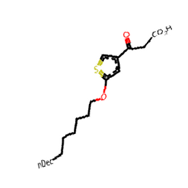 CCCCCCCCCCCCCCCCOc1cc(C(=O)CC(=O)O)cs1